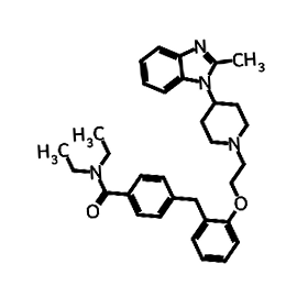 CCN(CC)C(=O)c1ccc(Cc2ccccc2OCCN2CCC(n3c(C)nc4ccccc43)CC2)cc1